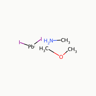 CN.COC.[I][Pb][I]